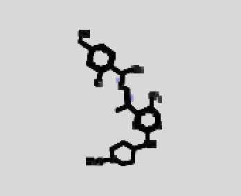 CCC(C)/C(=N\C=C(/C)c1nc(NC2CCN(SC)CC2)ncc1C(F)(F)F)c1ccc(CO)cc1Cl